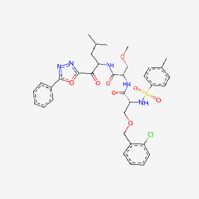 COCC(NC(=O)C(COCc1ccccc1Cl)NS(=O)(=O)c1ccc(C)cc1)C(=O)NC(CC(C)C)C(=O)c1nnc(-c2ccccc2)o1